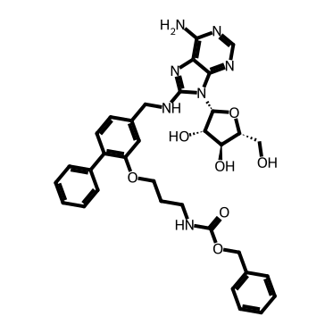 Nc1ncnc2c1nc(NCc1ccc(-c3ccccc3)c(OCCCNC(=O)OCc3ccccc3)c1)n2[C@@H]1O[C@H](CO)[C@@H](O)[C@@H]1O